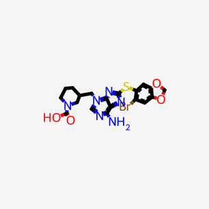 Nc1ncn(CC2CCCN(C(=O)O)C2)c2nc(Sc3cc4c(cc3Br)OCO4)nc1-2